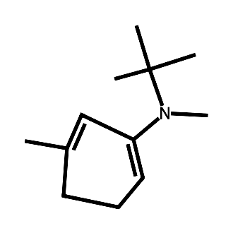 CC1=CC(N(C)C(C)(C)C)=CCC1